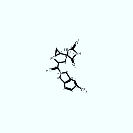 CC(C)C(C[C@@]1(C2CC2)NC(=O)NC1=O)C(=O)N1Cc2ccc(C(F)(F)F)cc2C1